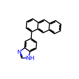 c1ccc2cc3c(-c4ccc5[nH]cnc5c4)cccc3cc2c1